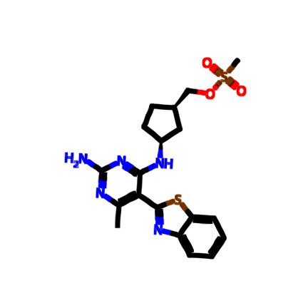 Cc1nc(N)nc(N[C@H]2CC[C@@H](COS(C)(=O)=O)C2)c1-c1nc2ccccc2s1